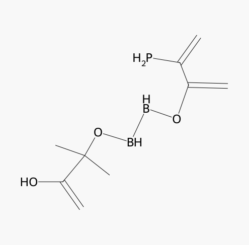 C=C(P)C(=C)OBBOC(C)(C)C(=C)O